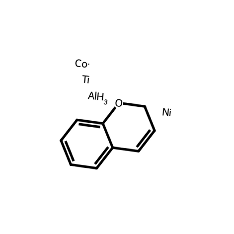 C1=Cc2ccccc2OC1.[AlH3].[Co].[Ni].[Ti]